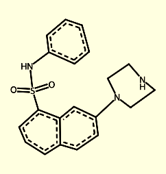 O=S(=O)(Nc1ccccc1)c1cccc2ccc(N3CCNCC3)cc12